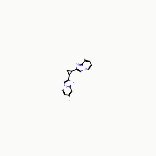 Fc1ccn2cc(C3CC3c3cn4cccc(F)c4n3)nc2c1